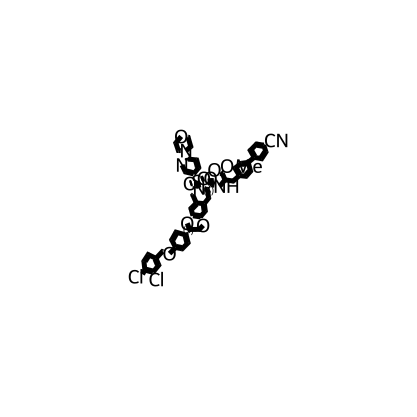 COC(=O)C(Cc1ccc(-c2ccc(C#N)cc2)cc1)NC(=O)[C@@H]1Cc2cc3c(cc2CN1S(=O)(=O)c1ccc(N2CCOCC2)nc1)O[C@@H](c1ccc(OCc2ccc(Cl)c(Cl)c2)cc1)CO3